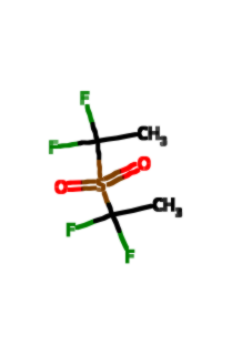 CC(F)(F)S(=O)(=O)C(C)(F)F